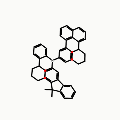 CC1(C)c2ccccc2-c2cc(N(c3cccc(-c4cccc5cccc(C6CCCCC6)c45)c3)c3ccccc3C3CCCCC3)ccc21